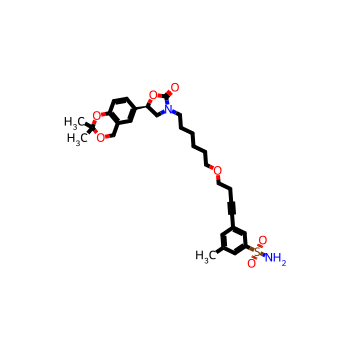 Cc1cc(C#CCCOCCCCCCN2C[C@@H](c3ccc4c(c3)COC(C)(C)O4)OC2=O)cc(S(N)(=O)=O)c1